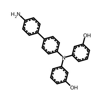 Nc1ccc(-c2ccc(N(c3cccc(O)c3)c3cccc(O)c3)cc2)cc1